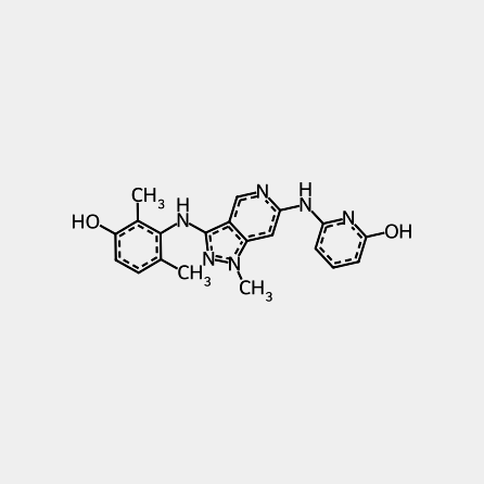 Cc1ccc(O)c(C)c1Nc1nn(C)c2cc(Nc3cccc(O)n3)ncc12